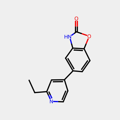 CCc1cc(-c2ccc3oc(=O)[nH]c3c2)ccn1